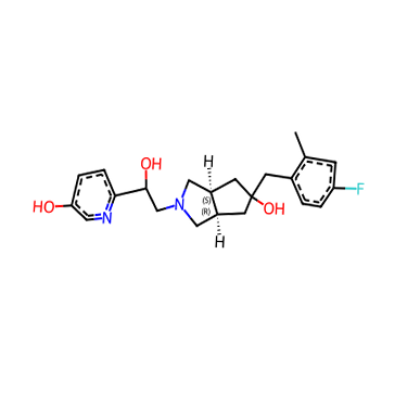 Cc1cc(F)ccc1CC1(O)C[C@H]2CN(CC(O)c3ccc(O)cn3)C[C@H]2C1